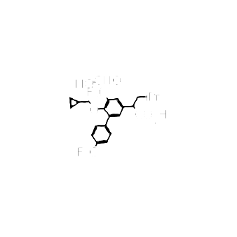 CC(C)CC(C(=O)O)c1cc(-c2ccc(C(F)(F)F)cc2)c(OCC2CC2)c(C(F)(F)F)c1.O=CO